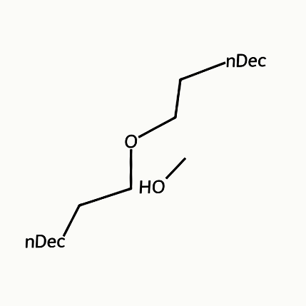 CCCCCCCCCCCCOCCCCCCCCCCCC.CO